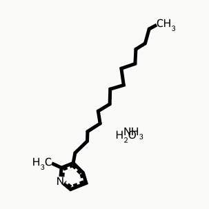 CCCCCCCCCCCCCCc1cccnc1C.N.O